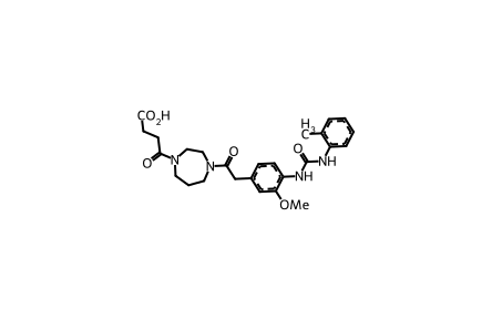 COc1cc(CC(=O)N2CCCN(C(=O)CCC(=O)O)CC2)ccc1NC(=O)Nc1ccccc1C